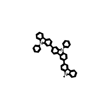 Cn1c2ccccc2c2cc(-c3ccc4c(c3)c3ccc(-c5ccc6c7ccccc7n(-c7ccccc7)c6c5)cc3n4-c3ccccc3)ccc21